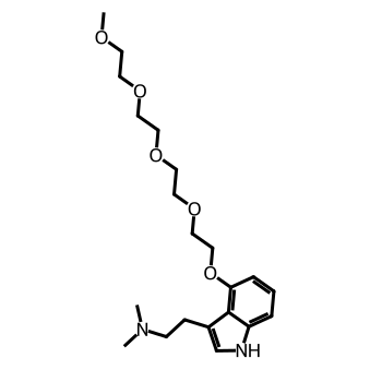 COCCOCCOCCOCCOc1cccc2[nH]cc(CCN(C)C)c12